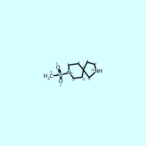 CS(=O)(=O)N1CCC2(CCNC2)CC1